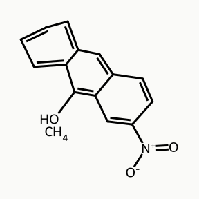 C.O=[N+]([O-])c1ccc2cc3ccccc3c(O)c2c1